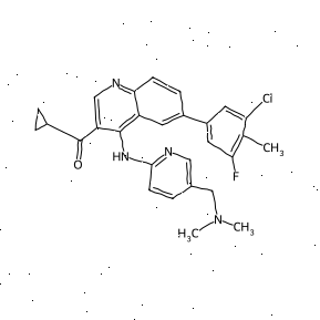 Cc1c(F)cc(-c2ccc3ncc(C(=O)C4CC4)c(Nc4ccc(CN(C)C)cn4)c3c2)cc1Cl